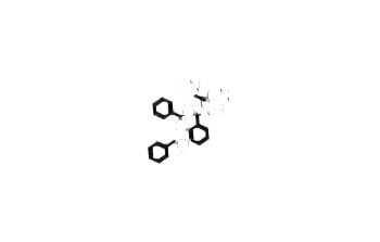 N#CC[C@H](C#N)NC(=O)c1cccc(OCc2ccccc2)c1OCc1ccccc1